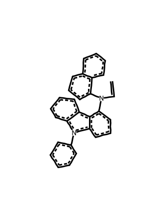 C=CN(c1cccc2ccccc12)c1cccc2c1c1ccccc1n2-c1ccccc1